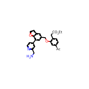 CCOC(=O)Cc1ccc(C(C)=O)cc1OCc1cc(-c2ccnc(CN)c2)c2occc2c1